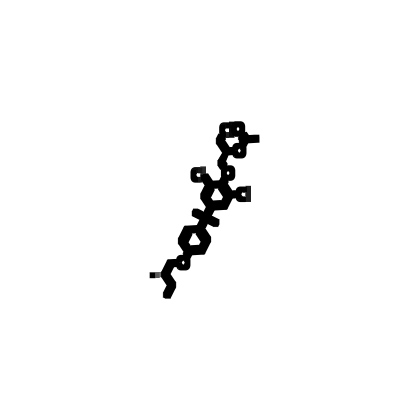 CC[C@H](C)COc1ccc(C(C)(C)c2cc(Cl)c(OC[C@@H](CCl)OC(C)=O)c(Cl)c2)cc1